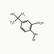 CCNc1ccc(C(O)(C(F)(F)F)C(F)(F)F)cc1C(=O)O